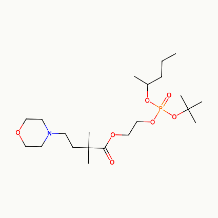 CCCC(C)OP(=O)(OCCOC(=O)C(C)(C)CCN1CCOCC1)OC(C)(C)C